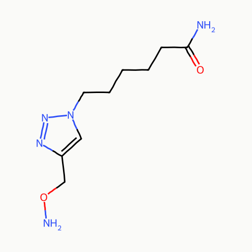 NOCc1cn(CCCCCC(N)=O)nn1